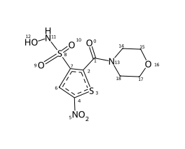 O=C(c1sc([N+](=O)[O-])cc1S(=O)(=O)NO)N1CCOCC1